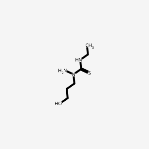 CCNC(=S)N(N)CCCO